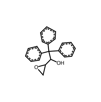 OC(C1CO1)C(c1ccccc1)(c1ccccc1)c1ccccc1